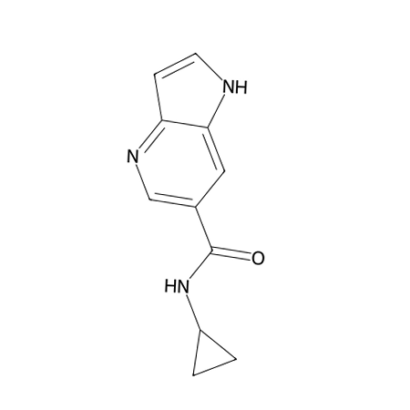 O=C(NC1CC1)c1cnc2cc[nH]c2c1